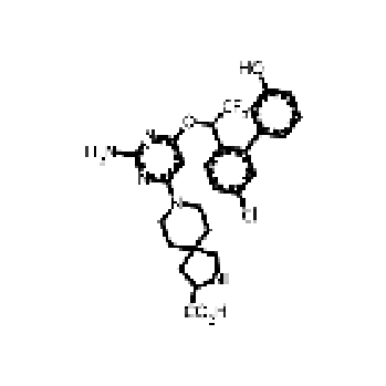 Nc1nc(O[C@H](c2ccc(Cl)cc2-c2cccc(O)c2)C(F)(F)F)cc(N2CCC3(CC2)CNC(C(=O)O)C3)n1